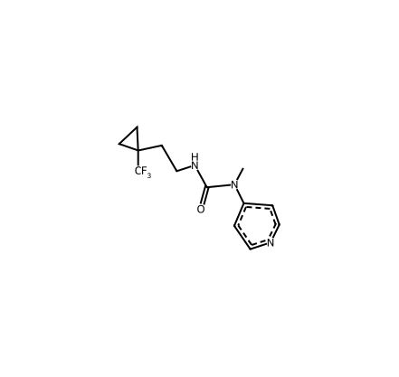 CN(C(=O)NCCC1(C(F)(F)F)CC1)c1ccncc1